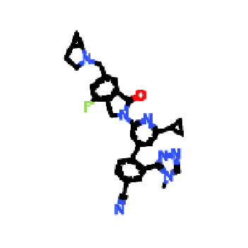 Cn1cnnc1-c1cc(C#N)ccc1-c1cc(C2CC2)nc(N2Cc3c(F)cc(CN4CCC5CC54)cc3C2=O)c1